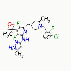 Cc1cc(Nc2nc(C[C@@H]3CCN(Cc4cccc(Cl)c4F)[C@H](C)C3)c(F)c(C3(C)COC3)c2F)n[nH]1